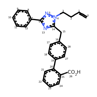 C=CCCn1nc(-c2ccccc2)nc1Cc1ccc(-c2ccccc2C(=O)O)cc1